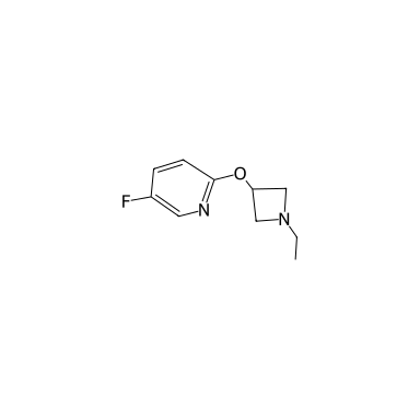 CCN1CC(Oc2ccc(F)cn2)C1